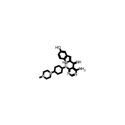 CN1CCN(C2CCC(Nc3ncnc(N)c3C(=N)c3cc4cc(O)ccc4[nH]3)CC2)CC1